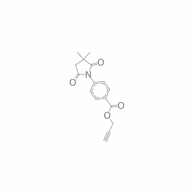 C#CCOC(=O)c1ccc(N2C(=O)CC(C)(C)C2=O)cc1